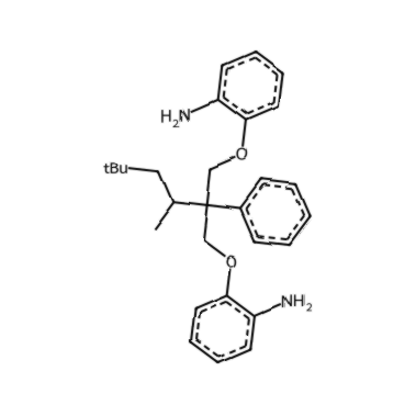 CC(CC(C)(C)C)C(COc1ccccc1N)(COc1ccccc1N)c1ccccc1